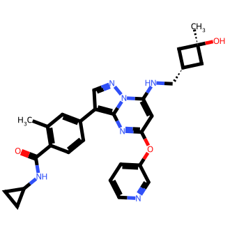 Cc1cc(-c2cnn3c(NC[C@H]4C[C@](C)(O)C4)cc(Oc4cccnc4)nc23)ccc1C(=O)NC1CC1